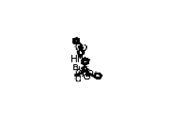 CC(=O)OOc1c(C(=O)OCC2CCCCC2)sc(-c2cccc(NC3CCN(S(=O)(=O)Cc4ccccc4)CC3)c2)c1Br